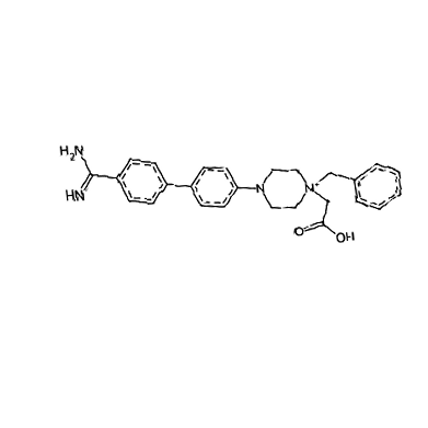 N=C(N)c1ccc(-c2ccc(N3CC[N+](CC(=O)O)(Cc4ccccc4)CC3)cc2)cc1